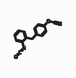 N#COc1ccc(Cc2ccccc2N=C=O)cc1